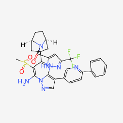 CS(=O)(=O)c1c(C2C[C@H]3CC[C@@H](C2)N3C(=O)c2cc(C(F)(F)F)n[nH]2)nc2c(-c3ccc(-c4ccccc4)nc3)cnn2c1N